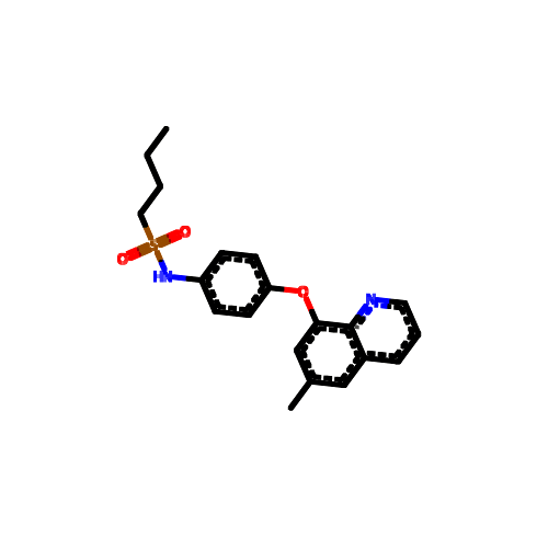 CCCCS(=O)(=O)Nc1ccc(Oc2cc(C)cc3cccnc23)cc1